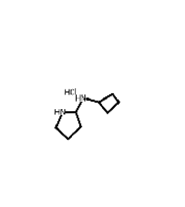 C1CC(NC2CCCN2)C1.Cl